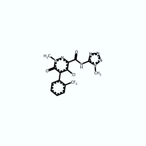 Cn1nnnc1NC(=O)c1nn(C)c(=O)c(-c2ccccc2C(F)(F)F)c1Cl